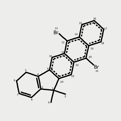 CC1(C)C2=C(CCC=C2)c2cc3c(Br)c4ccccc4c(Br)c3cc21